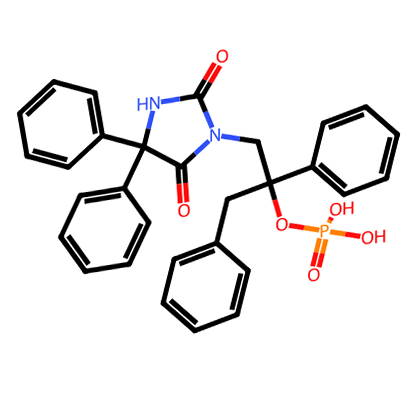 O=C1NC(c2ccccc2)(c2ccccc2)C(=O)N1CC(Cc1ccccc1)(OP(=O)(O)O)c1ccccc1